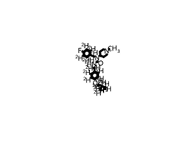 [2H]c1c([2H])c(C([2H])([2H])N(C(=O)NC([2H])([2H])c2c([2H])c([2H])c(OC([2H])([2H])C([2H])(C([2H])([2H])[2H])C([2H])([2H])[2H])c([2H])c2[2H])C2CCN(C)CC2)c([2H])c([2H])c1F